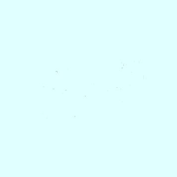 [2H]C1([2H])CC([2H])(c2ccc(F)cc2)[C@H](COc2ccc3c(c2)OC([2H])([2H])O3)CN1